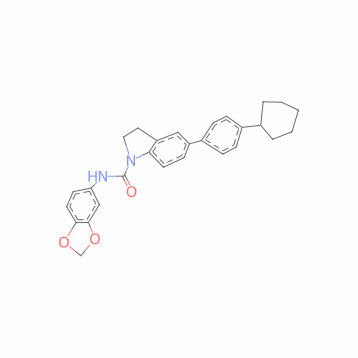 O=C(Nc1ccc2c(c1)OCO2)N1CCc2cc(-c3ccc(C4CCCCC4)cc3)ccc21